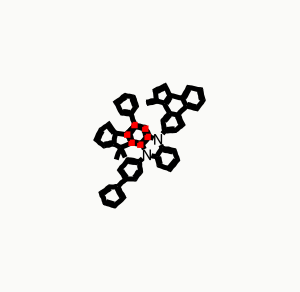 C=C1C=Cc2c1c1cc(N(c3ccc4c(c3)C(C)(C)c3ccccc3-4)c3ccccc3N(c3ccc(-c4ccccc4)cc3)c3ccc(-c4ccccc4)cc3)ccc1c1ccccc21